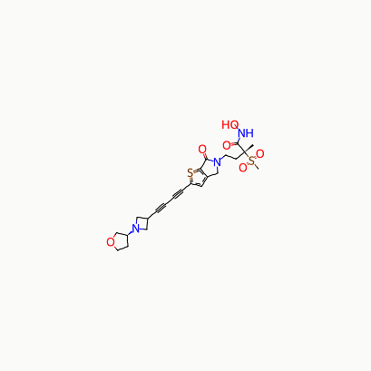 C[C@@](CCN1Cc2cc(C#CC#CC3CN([C@H]4CCOC4)C3)sc2C1=O)(C(=O)NO)S(C)(=O)=O